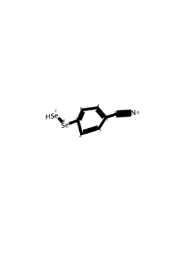 N#Cc1ccc([Se][SeH])cc1